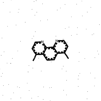 Cc1c[c]nc2c1ccc1c(C)ccnc12